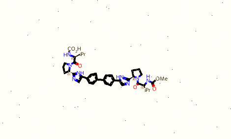 COC(=O)N[C@H](C(=O)N1CCC[C@@H]1c1ncc(-c2ccc(-c3ccc(-c4cnc([C@@H]5CCCN5C(=O)[C@@H](NC(=O)O)C(C)C)[nH]4)cc3)cc2)[nH]1)C(C)C